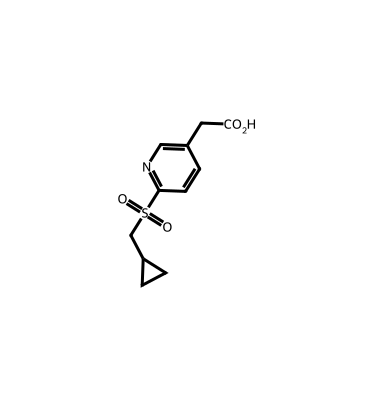 O=C(O)Cc1ccc(S(=O)(=O)CC2CC2)nc1